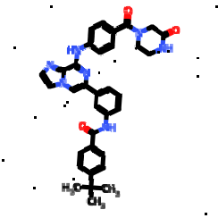 CC(C)(C)c1ccc(C(=O)Nc2cccc(-c3cn4ccnc4c(Nc4ccc(C(=O)N5CCNC(=O)C5)cc4)n3)c2)cc1